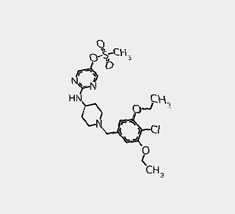 CCOc1cc(CN2CCC(Nc3ncc(OS(C)(=O)=O)cn3)CC2)cc(OCC)c1Cl